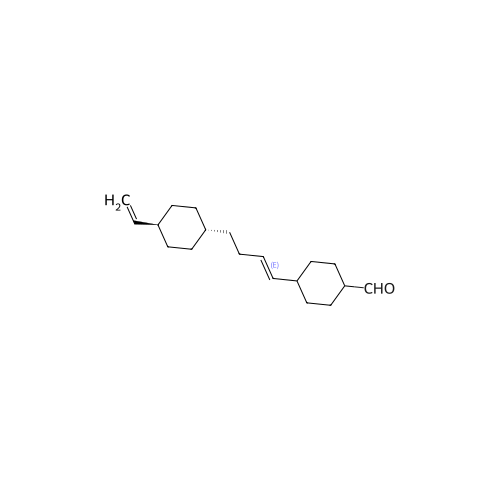 C=C[C@H]1CC[C@H](CC/C=C/C2CCC(C=O)CC2)CC1